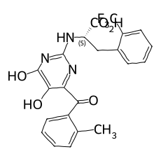 Cc1ccccc1C(=O)c1nc(N[C@@H](Cc2ccccc2C(F)(F)F)C(=O)O)nc(O)c1O